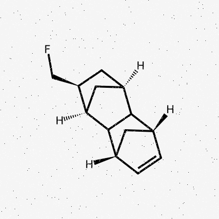 FC[C@H]1C[C@@H]2C[C@H]1C1C2[C@@H]2C=C[C@H]1C2